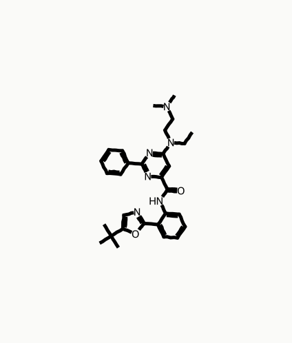 CCN(CCN(C)C)c1cc(C(=O)Nc2ccccc2-c2ncc(C(C)(C)C)o2)nc(-c2ccccc2)n1